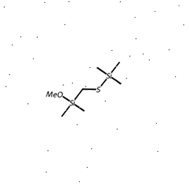 CO[Si](C)(C)CS[Si](C)(C)C